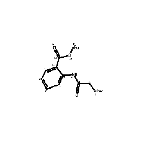 CCCCCCCCCCCC(=O)Nc1ccccc1C(=O)OCCCC